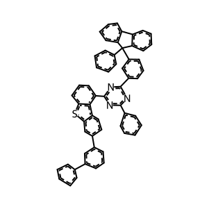 c1ccc(-c2cccc(-c3ccc4c(c3)sc3cccc(-c5nc(-c6ccccc6)nc(-c6cccc(C7(c8ccccc8)c8ccccc8-c8ccccc87)c6)n5)c34)c2)cc1